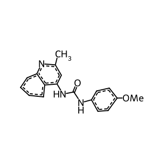 COc1ccc(NC(=O)Nc2cc(C)nc3ccccc23)cc1